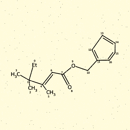 CCC(C)(C)/C(C)=C/C(=O)OCc1ccccc1